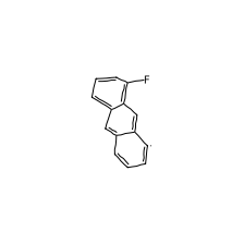 Fc1cccc2cc3ccc[c]c3cc12